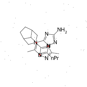 CCCc1nc(C)c(C2C3CCC2CN(c2nc(C)ns2)C3)c2nc(N)nn12